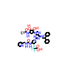 CCC(=O)N[C@H]1C[C@@H](n2cnc3c(NCC(c4ccccc4)c4ccccc4)nc(N4CC[C@@H](NC(=O)NCc5ccccn5)C4)nc32)[C@@H](O)[C@@H]1O.O=C(O)C(F)(F)F